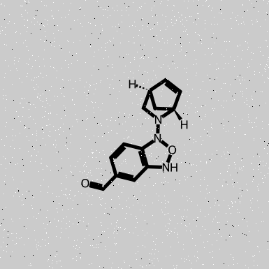 O=Cc1ccc2c(c1)NON2N1C[C@H]2C=C[C@H]1C2